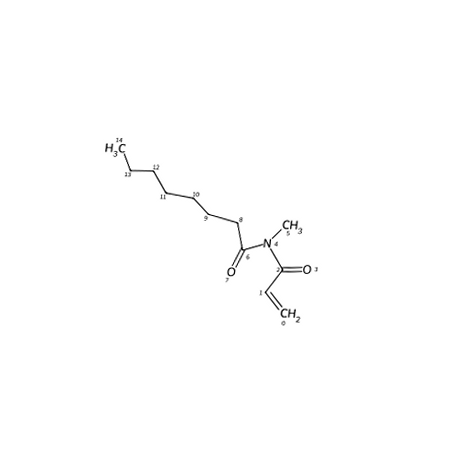 C=CC(=O)N(C)C(=O)CCCCCCC